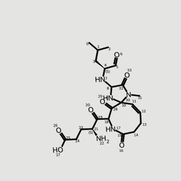 CC(C)C[C@@H](C=O)NC1NC2(C=CCCC(=O)NC(C(=O)[C@@H](N)CCC(=O)O)C2=O)N(C)C1=O